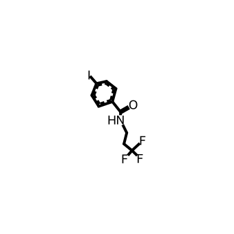 O=C(NCCC(F)(F)F)c1ccc(I)cc1